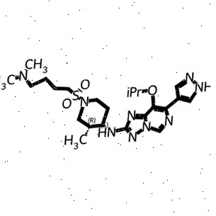 CC(C)Oc1c(-c2cn[nH]c2)ncn2nc(N[C@H]3CCN(S(=O)(=O)CCCCN(C)C)C[C@H]3C)nc12